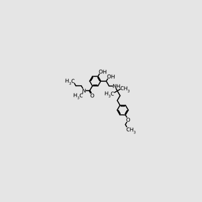 CCCN(C)C(=O)c1ccc(O)c(C(O)CNC(C)(C)CCc2ccc(OCC)cc2)c1